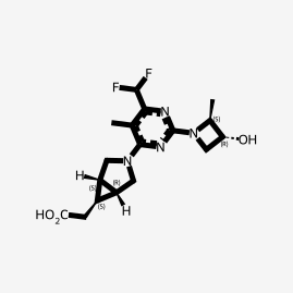 Cc1c(C(F)F)nc(N2C[C@@H](O)[C@@H]2C)nc1N1C[C@@H]2[C@@H](CC(=O)O)[C@@H]2C1